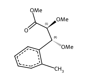 COC(=O)[C@@H](OC)[C@H](OC)c1ccccc1C